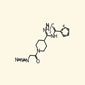 C=C(N/C(=N\N)C1CCN(C(=O)CN=[N+]=[N-])CC1)c1cccs1